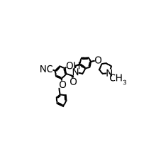 CN1CCC(Oc2ccc3c(c2)CN(C(=O)c2c(O)cc(C#N)cc2OCc2ccccc2)C3)CC1